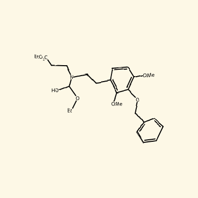 CCOC(=O)CCN(CCc1ccc(OC)c(OCc2ccccc2)c1OC)C(O)OCC